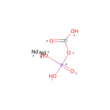 O=C(O)OP(=O)(O)O.[Nd].[Nd]